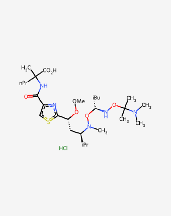 CCCC(C)(NC(=O)c1csc([C@@H](C[C@H](C(C)C)N(C)O[C@H](NOC(C)(C)N(C)C)[C@@H](C)CC)OOC)n1)C(=O)O.Cl